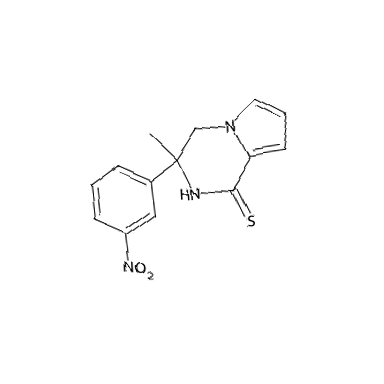 CC1(c2cccc([N+](=O)[O-])c2)Cn2cccc2C(=S)N1